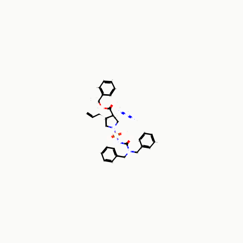 C=CC[C@@H]1CN(S(=O)(=O)NC(=O)N(Cc2ccccc2)Cc2ccccc2)C[C@]1(N=[N+]=[N-])C(=O)O[C@H](C)c1ccccc1